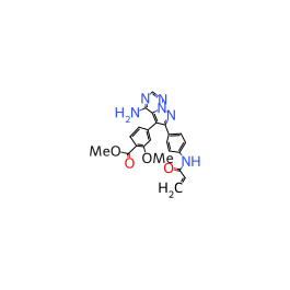 C=CC(=O)Nc1ccc(-c2nn3ncnc(N)c3c2-c2ccc(C(=O)OC)c(OC)c2)cc1